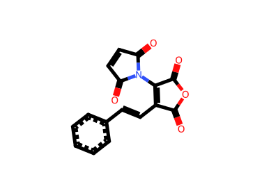 O=C1OC(=O)C(N2C(=O)C=CC2=O)=C1C=Cc1ccccc1